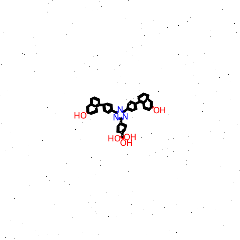 Oc1ccc2c(-c3ccc(-c4nc(-c5ccc(-c6cccc7cc(O)ccc67)cc5)nc(-c5ccc(C(O)(O)O)cc5)n4)cc3)cccc2c1